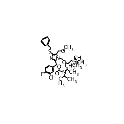 COCc1c(SCc2ccccc2)nc(C(OC(=O)N(C(C)C)C(C)C)c2ccc(F)c(Cl)c2)n1COCC[Si](C)(C)C